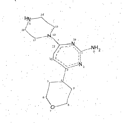 Nc1nc(C2CCOCC2)cc(N2CCNCC2)n1